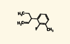 C=CC(CC)c1cccc(C)c1F